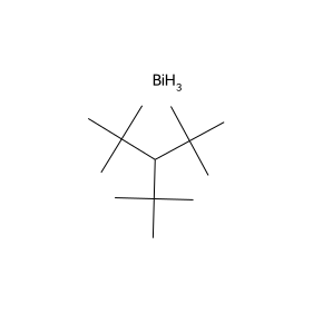 CC(C)(C)C(C(C)(C)C)C(C)(C)C.[BiH3]